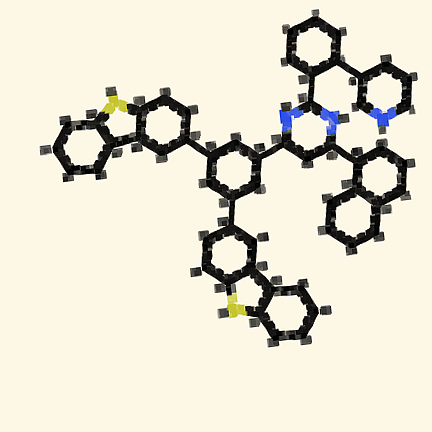 c1cncc(-c2ccccc2-c2nc(-c3cc(-c4ccc5sc6ccccc6c5c4)cc(-c4ccc5sc6ccccc6c5c4)c3)cc(-c3cccc4ccccc34)n2)c1